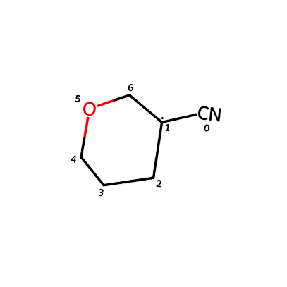 N#C[C]1CCCOC1